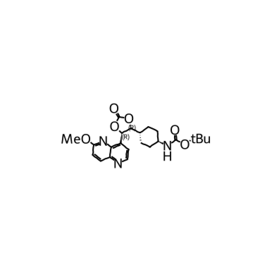 COc1ccc2nccc([C@H]3OC(=O)O[C@@H]3[C@H]3CC[C@H](NC(=O)OC(C)(C)C)CC3)c2n1